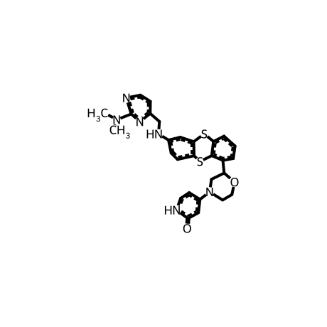 CN(C)c1nccc(CNc2ccc3c(c2)Sc2cccc(C4CN(c5cc[nH]c(=O)c5)CCO4)c2S3)n1